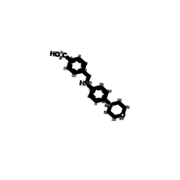 O=C(O)c1ccc(CNc2ccc(N3CCOCC3)cc2)cc1